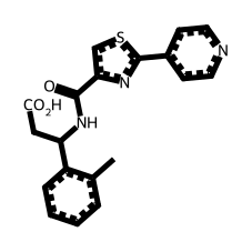 Cc1ccccc1C(CC(=O)O)NC(=O)c1csc(-c2ccncc2)n1